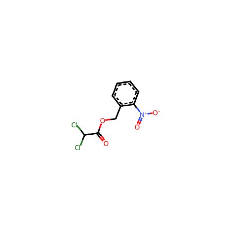 O=C(OCc1ccccc1[N+](=O)[O-])C(Cl)Cl